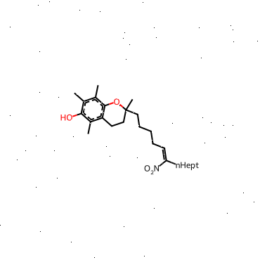 CCCCCCCC(=CCCCCC1(C)CCc2c(C)c(O)c(C)c(C)c2O1)[N+](=O)[O-]